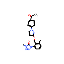 Cc1cccc(-n2nnn(C)c2=O)c1COc1ccn(-c2ccc(C(=O)C(F)(F)F)cc2)n1